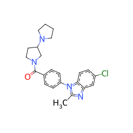 Cc1nc2cc(Cl)ccc2n1-c1ccc(C(=O)N2CCC(N3CCCC3)C2)cc1